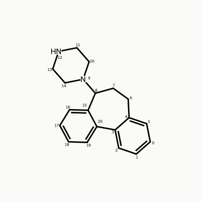 c1ccc2c(c1)CCC(N1CCNCC1)c1ccccc1-2